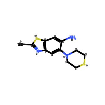 CC(C)(C)c1nc2cc(N3CCSCC3)c(N)cc2s1